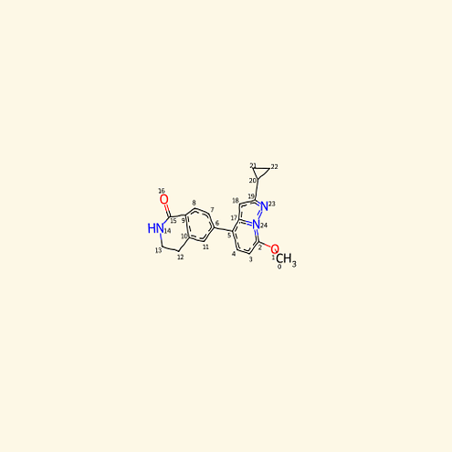 COc1ccc(-c2ccc3c(c2)CCNC3=O)c2cc(C3CC3)nn12